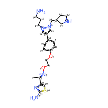 C/C(=N\OCCOc1ccc(-c2cn(CCCN)[n+](CC3CCNC3)c2)cc1)c1csc(N)n1